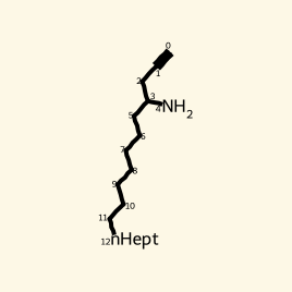 C#CCC(N)CCCCCCCCCCCCCC